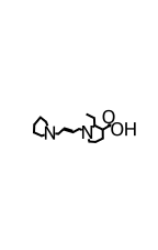 CCC1C(C(=O)O)CCCN1CC=CCN1CCCCC1